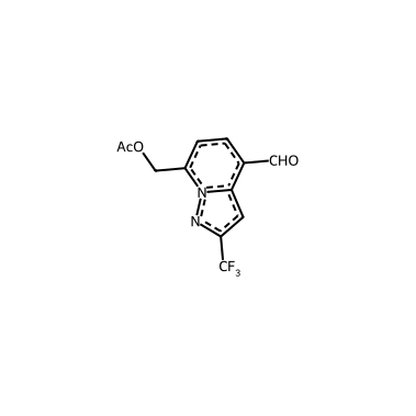 CC(=O)OCc1ccc(C=O)c2cc(C(F)(F)F)nn12